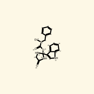 CCN(Cc1ccccc1)C(=O)O[C@]1(c2c[nH]c3ccccc23)NCC(=O)N1